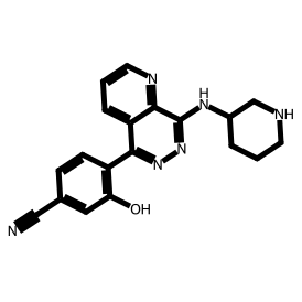 N#Cc1ccc(-c2nnc(NC3CCCNC3)c3ncccc23)c(O)c1